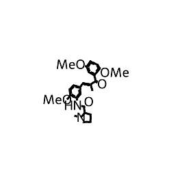 COc1ccc(OC)c(C(=O)C(C)=Cc2ccc(OC)c(NC(=O)C3CCCN3C)c2)c1